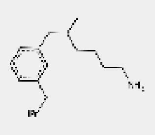 CC(C)Cc1cccc(CC(C)CCCCN)c1